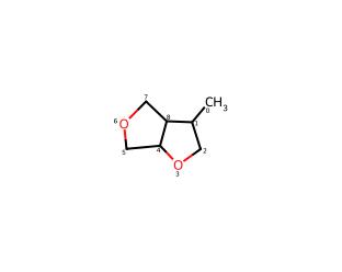 CC1COC2COCC12